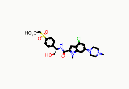 CN1CCN(c2cc(Cl)c3cc(C(=O)N[C@H](CO)c4ccc(S(=O)(=O)CC(=O)O)cc4)n(C)c3c2)CC1